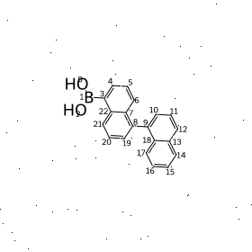 OB(O)c1cccc2c(-c3cccc4ccccc34)cccc12